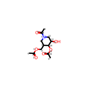 CC(=O)OCC1CN(C(C)=O)CC(O)C1OC(C)=O